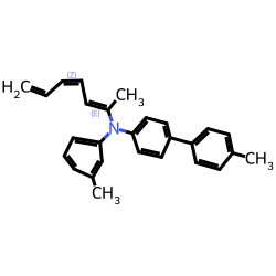 C=C/C=C\C=C(/C)N(c1ccc(-c2ccc(C)cc2)cc1)c1cccc(C)c1